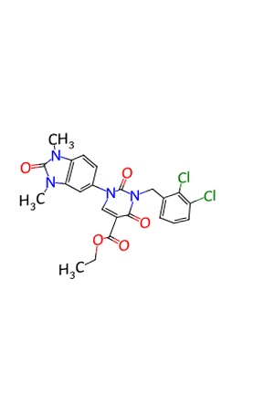 CCOC(=O)c1cn(-c2ccc3c(c2)n(C)c(=O)n3C)c(=O)n(Cc2cccc(Cl)c2Cl)c1=O